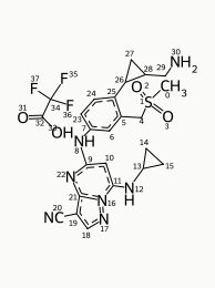 CS(=O)(=O)Cc1cc(Nc2cc(NC3CC3)n3ncc(C#N)c3n2)ccc1C1CC1CN.O=C(O)C(F)(F)F